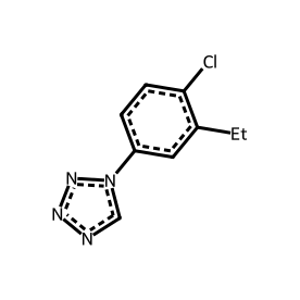 CCc1cc(-n2cnnn2)ccc1Cl